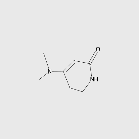 CN(C)C1=CC(=O)NCC1